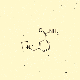 NC(=O)c1cccc(CN2CCC2)c1